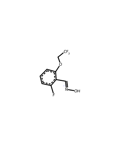 O/N=C/c1c(F)cccc1OCC(F)(F)F